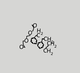 C(COCC1CO1)OCC1CO1.C=CC=C.C=Cc1ccccc1.C=Cc1ccccc1